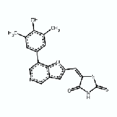 Cc1cc(-c2cncc3cc(C=C4SC(=S)NC4=O)oc23)cc(C)c1O